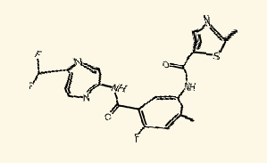 Cc1ncc(C(=O)Nc2cc(C(=O)Nc3cnc(C(F)F)cn3)c(F)cc2C)s1